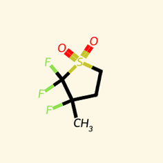 CC1(F)CCS(=O)(=O)C1(F)F